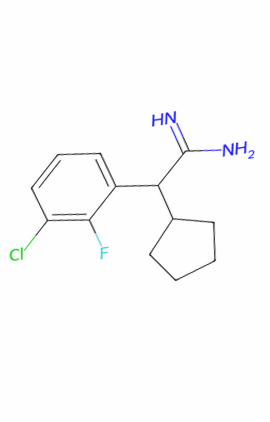 N=C(N)C(c1cccc(Cl)c1F)C1CCCC1